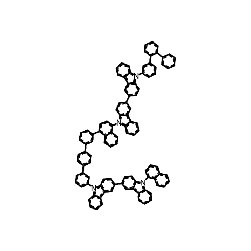 c1ccc(-c2ccccc2-c2cccc(-n3c4ccccc4c4cc(-c5ccc6c(c5)c5ccccc5n6-c5ccc(-c6cccc(-c7ccc(-c8cccc(-n9c%10ccccc%10c%10cc(-c%11ccc%12c(c%11)c%11ccccc%11n%12-c%11cccc%12ccccc%11%12)ccc%109)c8)cc7)c6)c6ccccc56)ccc43)c2)cc1